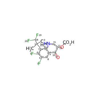 CC(C)(c1c(F)c(F)cc2c(=O)c(OC(=O)O)c[nH]c12)C(F)F